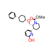 COC(=O)N1CCC[C@H](c2cccc(O)n2)[C@@H]1CO[C@H]1CC[C@@H](c2ccccc2)CC1